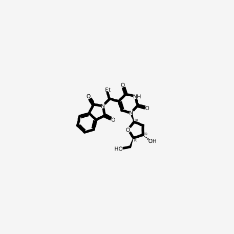 CCC(c1cn([C@H]2C[C@H](O)[C@@H](CO)O2)c(=O)[nH]c1=O)N1C(=O)c2ccccc2C1=O